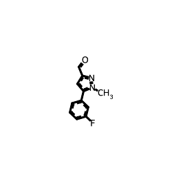 Cn1nc(C=O)cc1-c1cccc(F)c1